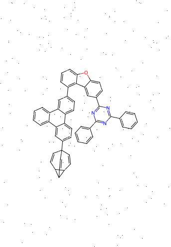 C1=CC2(c3ccc4c5ccc(-c6cccc7oc8ccc(-c9nc(-c%10ccccc%10)nc(-c%10ccccc%10)n9)cc8c67)cc5c5ccccc5c4c3)C=CC3C1C3C=C2